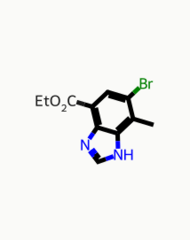 CCOC(=O)c1cc(Br)c(C)c2[nH]cnc12